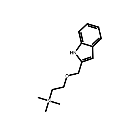 C[Si](C)(C)CCOCc1cc2ccccc2[nH]1